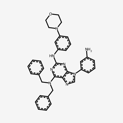 Nc1cccc(-n2cnc3c(N(Cc4ccccc4)Cc4ccccc4)nc(Nc4cccc(N5CCOCC5)c4)nc32)c1